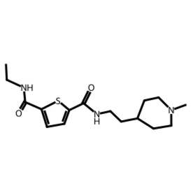 CCNC(=O)c1ccc(C(=O)NCCC2CCN(C)CC2)s1